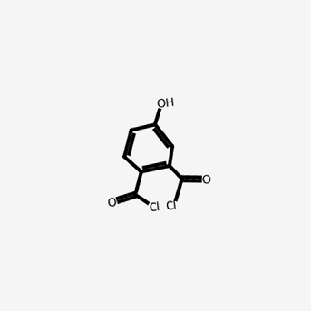 O=C(Cl)c1ccc(O)cc1C(=O)Cl